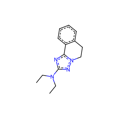 CCN(CC)c1nc2n(n1)CCc1ccccc1-2